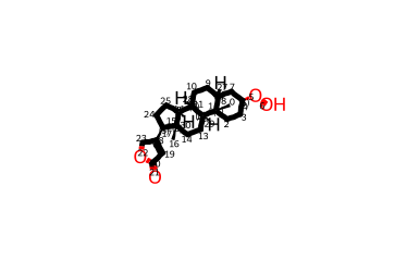 C[C@]12CC[C@H](OO)C[C@H]1CC[C@@H]1[C@@H]2CC[C@]2(C)[C@@H](C3=CC(=O)OC3)CC[C@@H]12